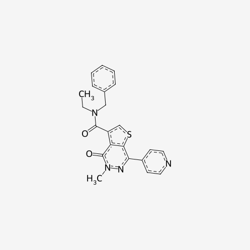 CCN(Cc1ccccc1)C(=O)c1csc2c(-c3ccncc3)nn(C)c(=O)c12